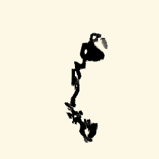 Cn1c(SCCCN2CC[C@]3(CC3Cc3ccc(C(F)(F)F)cc3)C2)nnc1-c1cnccn1